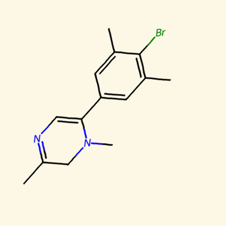 CC1=NC=C(c2cc(C)c(Br)c(C)c2)N(C)C1